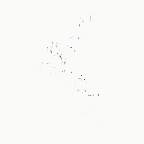 COC/C(O)=C/C(=N)c1nnc2c3ccccc3c(OCc3ccc(C(=O)CC4CCCCCCC4)cn3)nn12